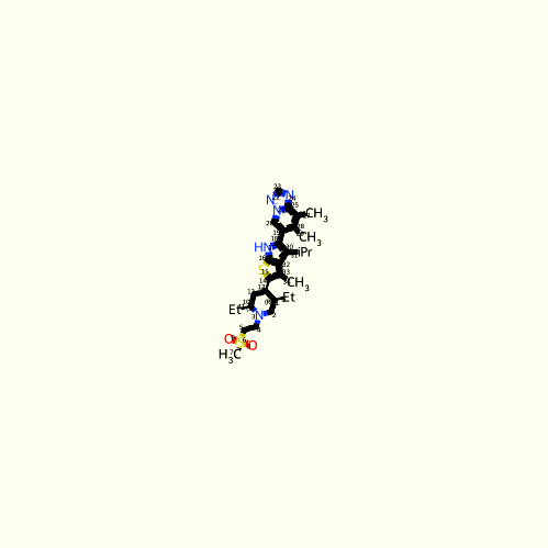 CC[C@H]1CN(CCS(C)(=O)=O)[C@@H](CC)C[C@H]1c1sc2[nH]c(-c3cn4ncnc4c(C)c3C)c(C(C)C)c2c1C